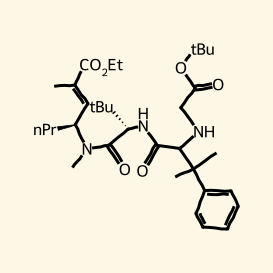 CCC[C@@H](/C=C(\C)C(=O)OCC)N(C)C(=O)[C@@H](NC(=O)C(NCC(=O)OC(C)(C)C)C(C)(C)c1ccccc1)C(C)(C)C